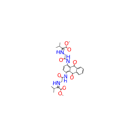 COC(=O)[C@@H](NCC(=O)Nc1ccc(NC(=O)CN[C@@H](C(=O)OC)C(C)C)c2c1C(=O)c1ccccc1C2=O)C(C)C